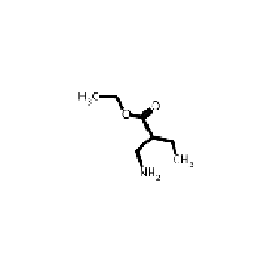 CCOC(=O)C(CC)CN